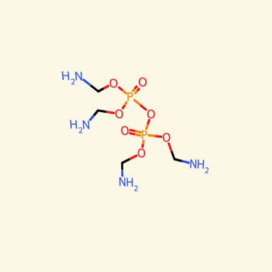 NCOP(=O)(OCN)OP(=O)(OCN)OCN